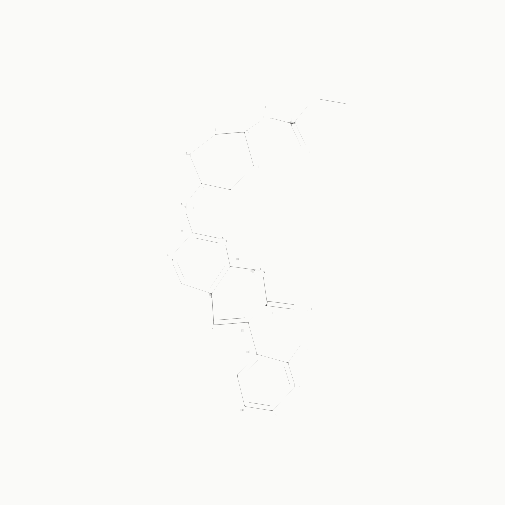 COC(=O)OC1CCC(Nc2ncc3cc(-c4ccccc4Cl)c(=O)[nH]c3n2)CC1